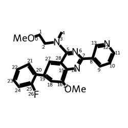 COCCN(C)c1nc(-c2cccnc2)nc2c(OC)cc(-c3ccccc3F)cc12